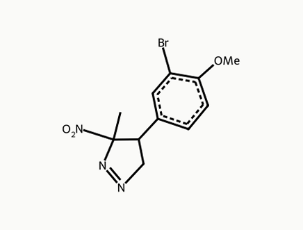 COc1ccc(C2CN=NC2(C)[N+](=O)[O-])cc1Br